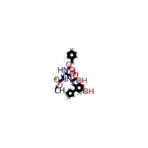 CCOC(=O)CC[C@H](NC(=O)OCc1ccccc1)C(=O)N[C@@H](Cc1ccc(O)cc1C1CCCC1)C(=O)O